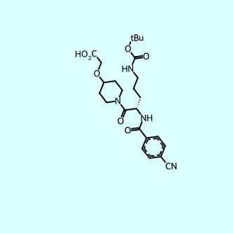 CC(C)(C)OC(=O)NCCC[C@H](NC(=O)c1ccc(C#N)cc1)C(=O)N1CCC(OCC(=O)O)CC1